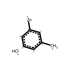 Cc1ccc[c]([Zn])c1.Cl